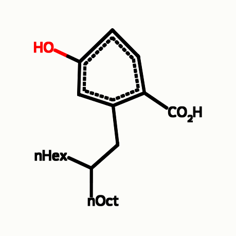 CCCCCCCCC(CCCCCC)Cc1cc(O)ccc1C(=O)O